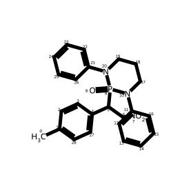 Cc1ccc(C(C[N+](=O)[O-])P2(=O)N(c3ccccc3)CCCN2c2ccccc2)cc1